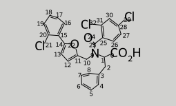 O=C(O)C(Cc1ccccc1)N(Cc1ccc(-c2ccccc2Cl)o1)C(=O)c1ccc(Cl)cc1Cl